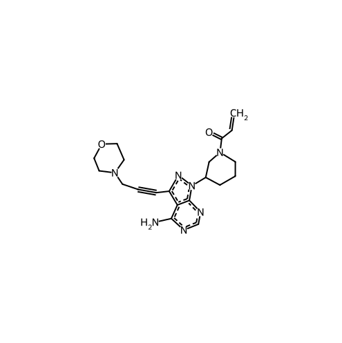 C=CC(=O)N1CCCC(n2nc(C#CCN3CCOCC3)c3c(N)ncnc32)C1